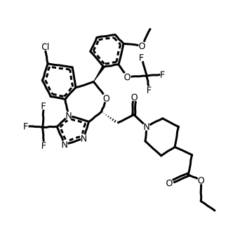 CCOC(=O)CC1CCN(C(=O)C[C@H]2O[C@H](c3cccc(OC)c3OC(F)(F)F)c3cc(Cl)ccc3-n3c2nnc3C(F)(F)F)CC1